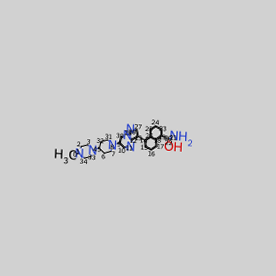 CN1CCN(C2CCN(c3cnc4c(-c5cccc6c(C(N)O)cccc56)cnn4c3)CC2)CC1